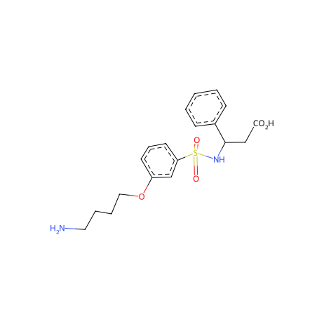 NCCCCOc1cccc(S(=O)(=O)NC(CC(=O)O)c2ccccc2)c1